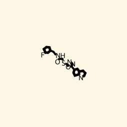 O=C(CSc1nnc(-c2ccc3ncccc3c2)o1)NCCc1cccc(F)c1